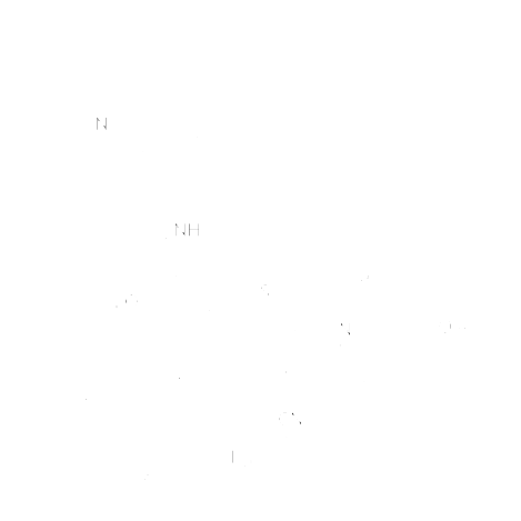 Cc1ccc(-c2c(C(=O)NCc3ccccn3)sc(N3CCOCC3)c2C#N)c(I)c1